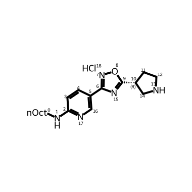 CCCCCCCCNc1ccc(-c2noc([C@@H]3CCNC3)n2)cn1.Cl